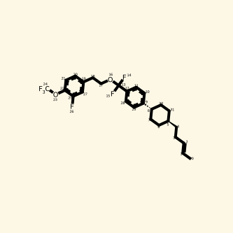 C/C=C/CC[C@H]1CC[C@H](c2ccc(C(F)(F)OCCc3ccc(OC(F)(F)F)c(F)c3)cc2)CC1